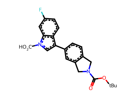 CC(C)(C)OC(=O)N1Cc2ccc(-c3cn(C(=O)O)c4cc(F)ccc34)cc2C1